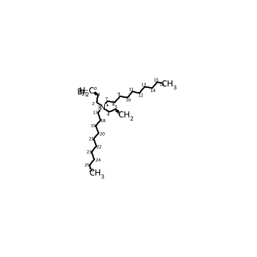 C=CC[N+](CC=C)(CCCCCCCCCC)CCCCCCCCCC.[Br-]